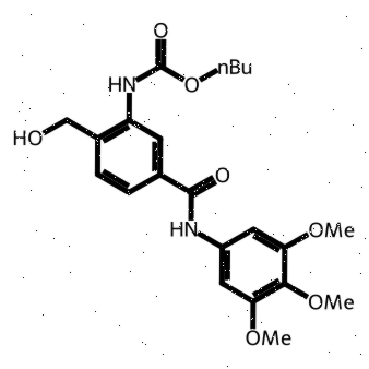 CCCCOC(=O)Nc1cc(C(=O)Nc2cc(OC)c(OC)c(OC)c2)ccc1CO